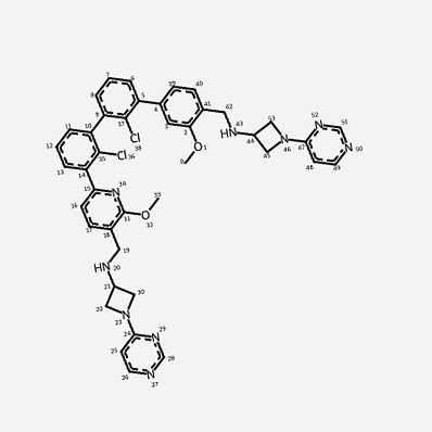 COc1cc(-c2cccc(-c3cccc(-c4ccc(CNC5CN(c6ccncn6)C5)c(OC)n4)c3Cl)c2Cl)ccc1CNC1CN(c2ccncn2)C1